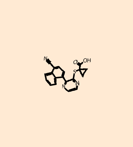 N#Cc1ccc(-c2nccnc2SC2(C(=O)O)CC2)c2ccccc12